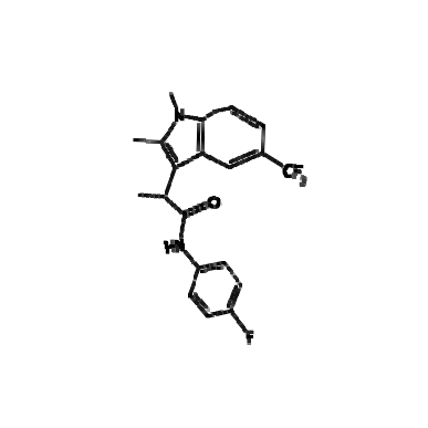 Cc1c(C(C)C(=O)Nc2ccc(F)cc2)c2cc(C(F)(F)F)ccc2n1C